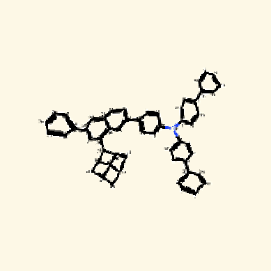 c1ccc(-c2ccc(N(c3ccc(-c4ccccc4)cc3)c3ccc(-c4ccc5cc(-c6ccccc6)cc(C6C7CC8CC9CC6C897)c5c4)cc3)cc2)cc1